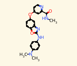 CNC(=O)c1cc(Oc2ccc3oc(Nc4ccc(N(C)C)cc4)nc3c2)ccn1